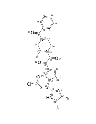 Cc1nc(-c2cc(Cl)nc3c(C(=O)C(=O)N4CCN(C(=O)c5ccccc5)CC4C)c[nH]c23)[nH]c1C